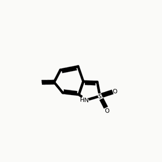 C=c1ccc2c(c1)NS(=O)(=O)C=2